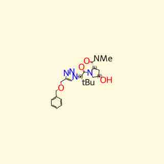 CNC(=O)[C@@H]1C[C@@H](O)CN1C(=O)[C@@H](n1cc(COCc2ccccc2)nn1)C(C)(C)C